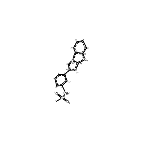 CS(=O)(=O)Nc1cccc(-c2cn3c(n2)sc2ccccc23)c1